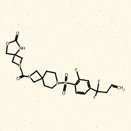 C=CCC(F)(F)c1ccc(S(=O)(=O)N2CCC3(CC2)CN(C(=O)N2CC4(COC(=O)N4)C2)C3)c(F)c1